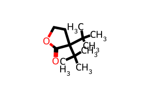 CC(C)(C)C1(C(C)(C)C)CCOC1=O